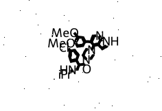 COc1ccc(-c2cnc3[nH]ccc3c2N2CCN(C(=O)C(CNC(C)C)c3ccc(Cl)cc3)CC2)cc1OC